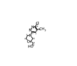 Cc1cc(N2CCO[C@H](CO)C2)nnc1Cl